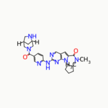 CN(C)C(=O)c1cc2cnc(Nc3ccc(C(=O)N4C[C@@H]5CN[C@@H](C5)C4)cn3)nc2n1C1CCCC1